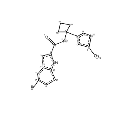 Cn1cc(C2(NC(=O)c3cc4cc(Br)ccc4[nH]3)CCC2)cn1